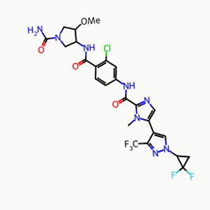 COC1CN(C(N)=O)CC1NC(=O)c1ccc(NC(=O)c2ncc(-c3cn(C4CC4(F)F)nc3C(F)(F)F)n2C)cc1Cl